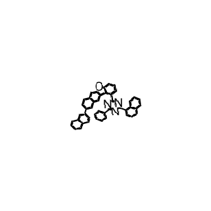 c1ccc(-c2nc(-c3cccc4ccccc34)nc(-c3cccc4oc5cc6ccc(-c7ccc8ccccc8c7)cc6cc5c34)n2)cc1